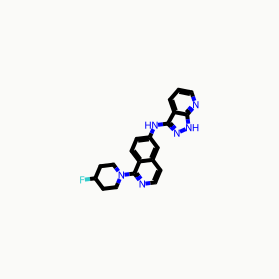 FC1CCN(c2nccc3cc(Nc4n[nH]c5ncccc45)ccc23)CC1